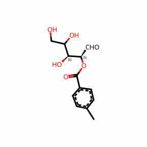 Cc1ccc(C(=O)O[C@H](C=O)[C@@H](O)C(O)CO)cc1